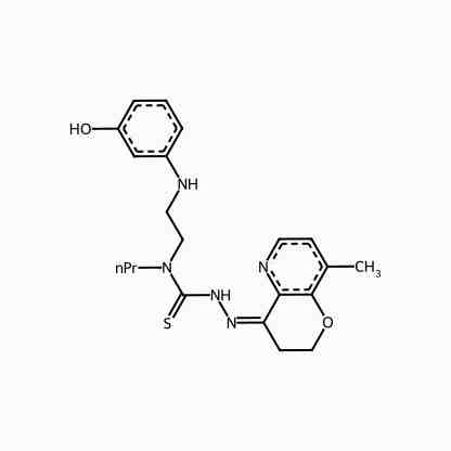 CCCN(CCNc1cccc(O)c1)C(=S)N/N=C1/CCOc2c(C)ccnc21